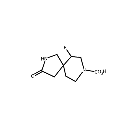 O=C1CC2(CCN(C(=O)O)CC2F)CN1